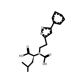 CC(C)C[C@@H](C(=O)O)N(CCc1cc(-c2ccccc2)on1)C(=O)O